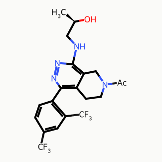 CC(=O)N1CCc2c(-c3ccc(C(F)(F)F)cc3C(F)(F)F)nnc(NC[C@@H](C)O)c2C1